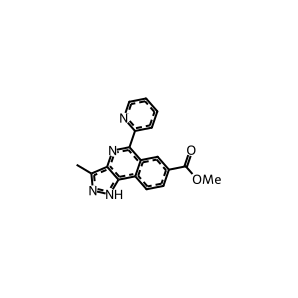 COC(=O)c1ccc2c(c1)c(-c1ccccn1)nc1c(C)n[nH]c12